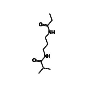 CCC(=O)NCCCNC(=O)C(C)C